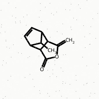 C=C1OC(=O)C2C3C=CC(C3C)C12